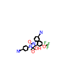 N#Cc1ccc(N2C(=O)N(c3ccc(C#N)cc3)C(O)(c3cccc(OC(F)(F)F)c3)C23COC3)cc1